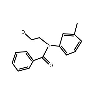 Cc1cccc(N(CC[O])C(=O)c2ccccc2)c1